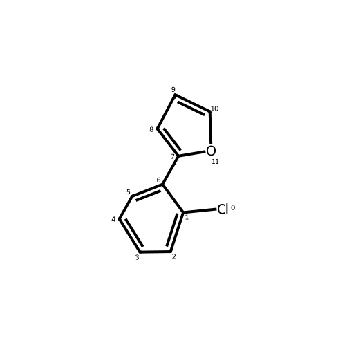 Clc1ccccc1-c1c[c]co1